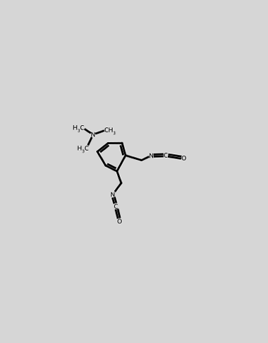 CN(C)C.O=C=NCc1ccccc1CN=C=O